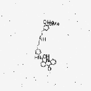 COc1ccc(CCCNCCCc2ccc(NC(=O)c3cccc4c(=O)c5ccccc5[nH]c34)cc2)cc1OC